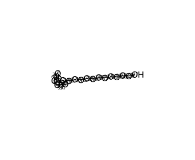 O=C(ON1C(=O)CCC1=O)C(OCCOCCOCCOCCOCCOCCOCCOCCOCCOCCOCCOCCO)N1C(=O)C=CC1=O